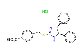 CCOC(=O)c1ccc(CSC2=N[C@@H](c3ccccc3)[C@@H](c3ccccc3)N2)cc1.Cl